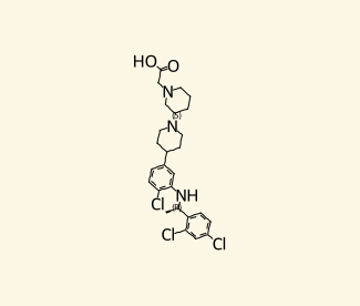 C[C@@H](Nc1cc(C2CCN([C@H]3CCCN(CC(=O)O)C3)CC2)ccc1Cl)c1ccc(Cl)cc1Cl